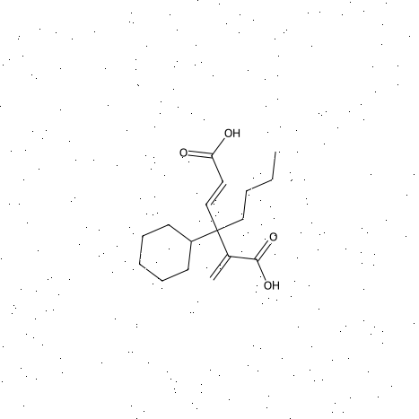 C=C(C(=O)O)C(C=CC(=O)O)(CCCC)C1CCCCC1